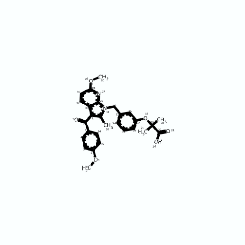 COc1ccc(C(=O)c2c(C)n(Cc3cccc(OC(C)(C)C(=O)O)c3)c3nc(OC)ccc23)cc1